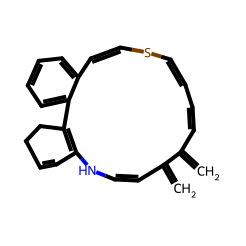 C=c1ccccsccc2ccccc2c2c([nH]ccc1=C)C=CCC2